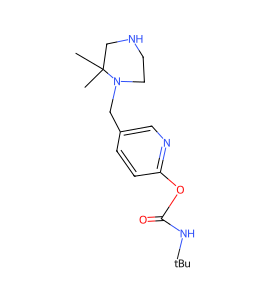 CC(C)(C)NC(=O)Oc1ccc(CN2CCNCC2(C)C)cn1